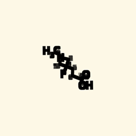 CN1CC(F)(CCC(=O)O)C1